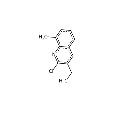 CCc1cc2cccc(C)c2nc1Cl